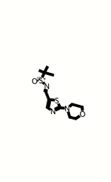 CC(C)(C)[S@@+]([O-])N=Cc1cnc(N2CCOCC2)s1